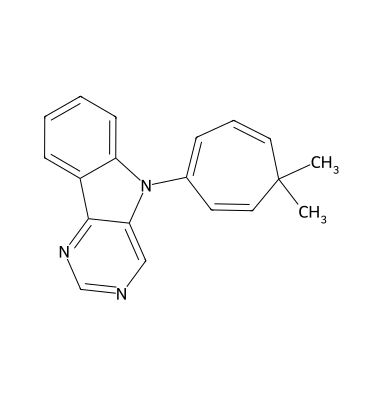 CC1(C)C=CC=C(n2c3ccccc3c3ncncc32)C=C1